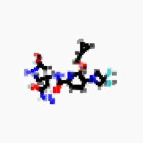 NC(=O)CC1(NC(=O)c2ccc(N3CC(F)(F)C3)c(OCC3CC3)n2)CNC(=O)C1